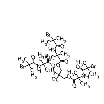 CCC(COC(=O)C(C)(C)NC(=O)C(C)(C)Br)(COC(=O)C(C)(C)NC(=O)C(C)(C)Br)COC(=O)C(C)(C)NC(=O)C(C)(C)Br